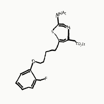 CCOC(=O)c1nc(NC(C)=O)sc1CCCOc1ccccc1F